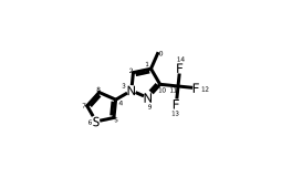 Cc1cn(-c2[c]scc2)nc1C(F)(F)F